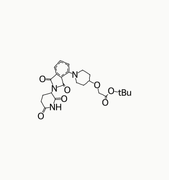 CC(C)(C)OC(=O)COC1CCN(c2cccc3c2C(=O)N(C2CCC(=O)NC2=O)C3=O)CC1